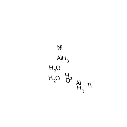 O.O.O.[AlH3].[AlH3].[Ni].[Ti]